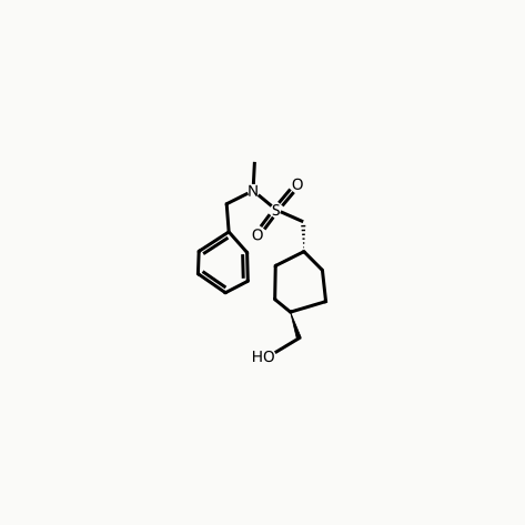 CN(Cc1ccccc1)S(=O)(=O)C[C@H]1CC[C@H](CO)CC1